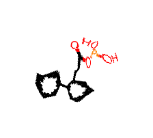 O=C(Cc1ccccc1-c1ccccc1)OP(O)O